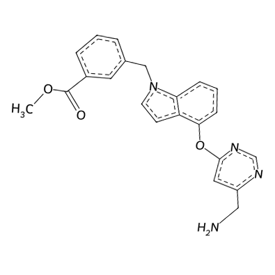 COC(=O)c1cccc(Cn2ccc3c(Oc4cc(CN)ncn4)cccc32)c1